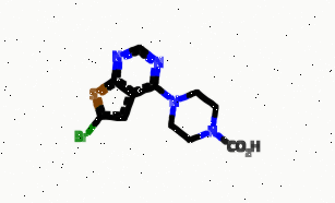 O=C(O)N1CCN(c2ncnc3sc(Br)cc23)CC1